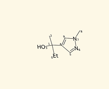 CCC(C)(O)c1cnn(C)c1